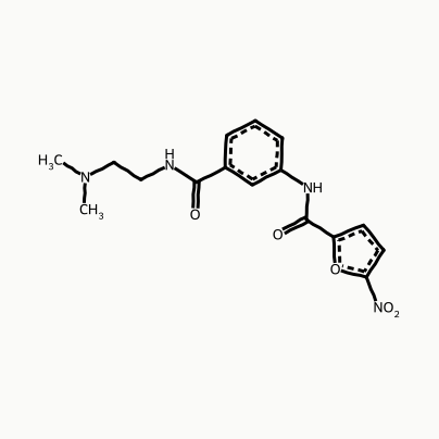 CN(C)CCNC(=O)c1cccc(NC(=O)c2ccc([N+](=O)[O-])o2)c1